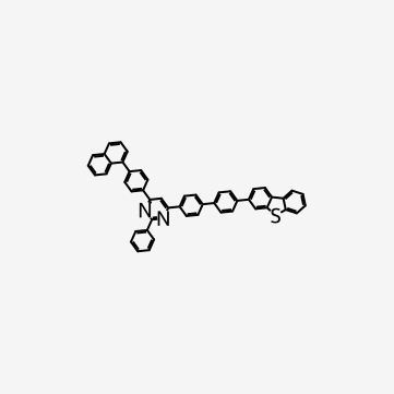 c1ccc(-c2nc(-c3ccc(-c4ccc(-c5ccc6c(c5)sc5ccccc56)cc4)cc3)cc(-c3ccc(-c4cccc5ccccc45)cc3)n2)cc1